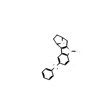 CC(C)n1c2c(c3cc(S(=O)(=O)c4ccccc4)ccc31)C1CCC(C2)N1.Cl